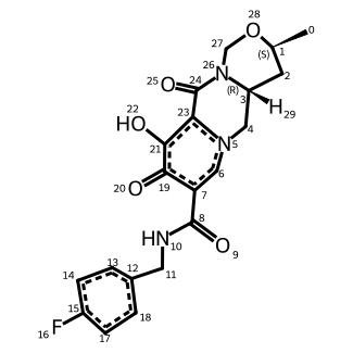 C[C@H]1C[C@@H]2Cn3cc(C(=O)NCc4ccc(F)cc4)c(=O)c(O)c3C(=O)N2CO1